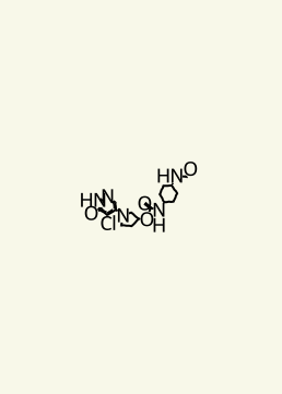 O=CN[C@H]1CC[C@H](NC(=O)O[C@@H]2CCN(c3cn[nH]c(=O)c3Cl)C2)CC1